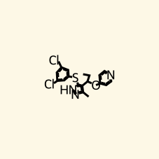 CCC(Oc1ccncc1)c1c(C)n[nH]c1Sc1cc(Cl)cc(Cl)c1